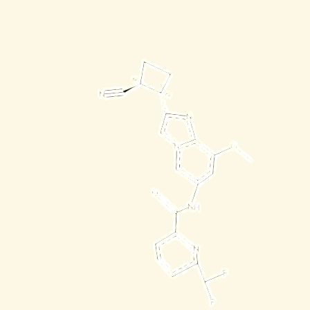 COc1cc(NC(=O)c2cccc(C(F)F)n2)cn2cc([C@H]3CC[C@@H]3C#N)nc12